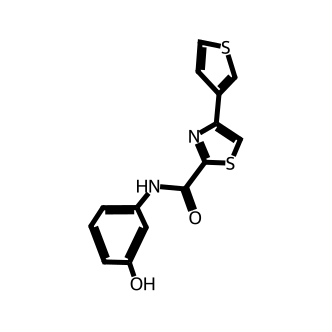 O=C(Nc1cccc(O)c1)c1nc(-c2ccsc2)cs1